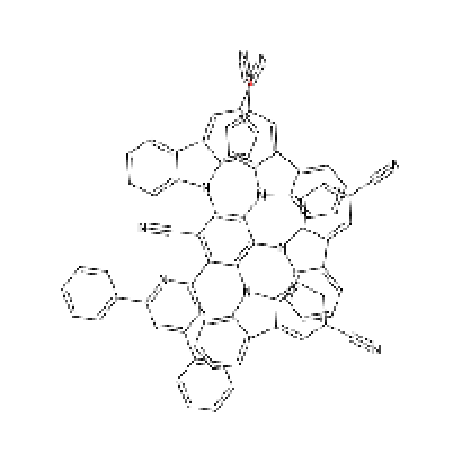 N#Cc1ccc2c(c1)c1ccccc1n2-c1c(C#N)c(-c2nc(-c3ccccc3)cc(-c3ccccc3)n2)c(-n2c3ccccc3c3cc(C#N)ccc32)c(-n2c3ccccc3c3cc(C#N)ccc32)c1-n1c2ccccc2c2cc(C#N)ccc21